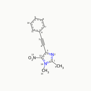 Cc1nc(C#Cc2ccccc2)c([N+](=O)[O-])n1C